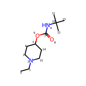 CCN1CCC(OC(=O)NC(C)(C)C)CC1